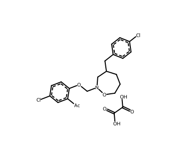 CC(=O)c1cc(Cl)ccc1OCN1CC(Cc2ccc(Cl)cc2)CCCO1.O=C(O)C(=O)O